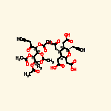 C#CCC(=O)[C@H](OC(C)=O)[C@@H](OC(C)=O)[C@@H](OC(C)=O)[C@@H](C)OC(C)=O.C#CC[C@@H]1OC(CC(=O)O)[C@@H](CC(=O)O)[C@H](CC(=O)O)[C@H]1CC(=O)O